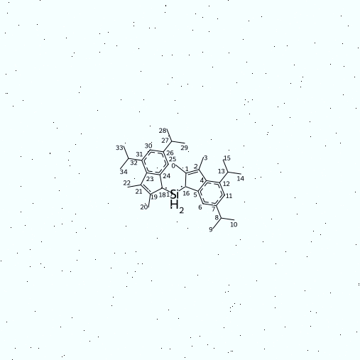 CC1=C(C)c2c(cc(C(C)C)cc2C(C)C)[C]1[SiH2][C]1C(C)=C(C)c2c1cc(C(C)C)cc2C(C)C